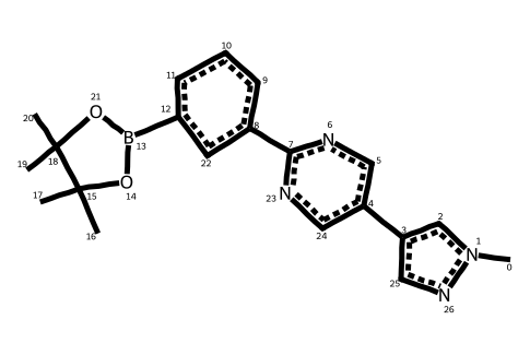 Cn1cc(-c2cnc(-c3cccc(B4OC(C)(C)C(C)(C)O4)c3)nc2)cn1